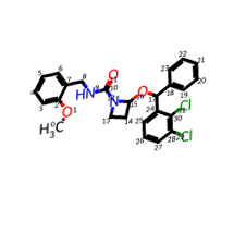 COc1ccccc1CNC(=O)N1CCC1OC(c1ccccc1)c1cccc(Cl)c1Cl